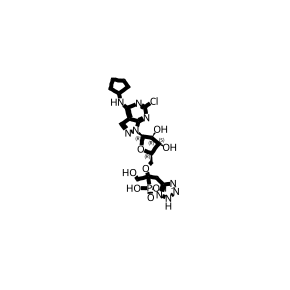 O=P(O)(O)C(CO)(Cc1nn[nH]n1)OC[C@H]1O[C@@H](n2ncc3c(NC4CCCC4)nc(Cl)nc32)[C@H](O)[C@@H]1O